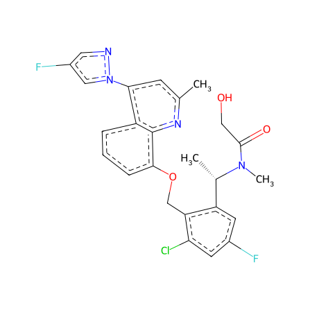 Cc1cc(-n2cc(F)cn2)c2cccc(OCc3c(Cl)cc(F)cc3[C@H](C)N(C)C(=O)CO)c2n1